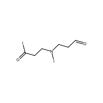 O=CCCN(I)CCC(=O)I